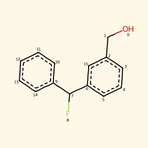 OCc1cccc(C(F)c2ccccc2)c1